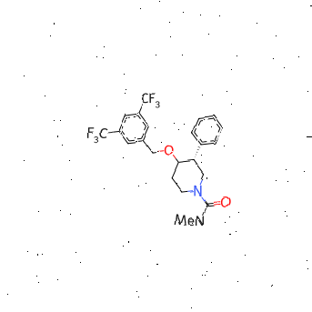 CNC(=O)N1CCC(OCc2cc(C(F)(F)F)cc(C(F)(F)F)c2)[C@H](c2ccccc2)C1